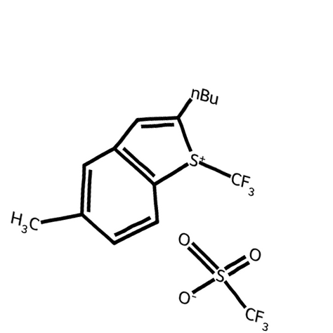 CCCCc1cc2cc(C)ccc2[s+]1C(F)(F)F.O=S(=O)([O-])C(F)(F)F